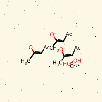 CC(=O)/C=C(/C)[O-].CC(=O)/C=C(/C)[O-].CC(=O)/C=C(/C)[O-].OO.[Cr+3]